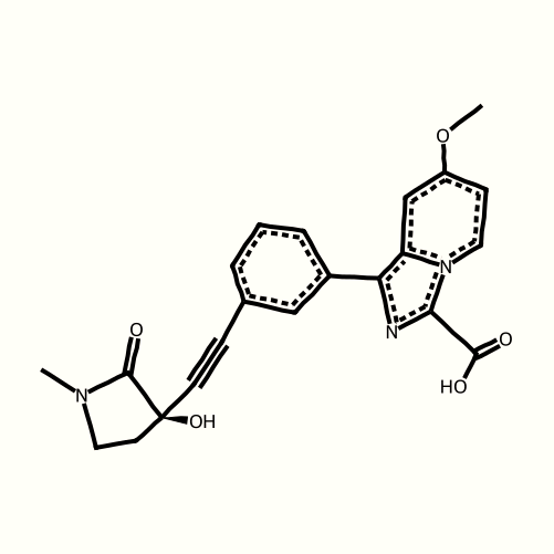 COc1ccn2c(C(=O)O)nc(-c3cccc(C#C[C@]4(O)CCN(C)C4=O)c3)c2c1